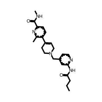 CCCC(=O)Nc1cc(CN2CC=C(c3ccc(C(=O)NC)nc3C)CC2)ccn1